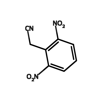 N#CCc1c([N+](=O)[O-])cccc1[N+](=O)[O-]